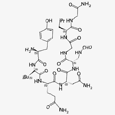 CC[C@H](C)[C@H](NC(=O)[C@@H](N)Cc1ccc(O)cc1)C(=O)N[C@@H](CCC(N)=O)C(=O)N[C@@H](CC(N)=O)C(=O)N[C@@H](CNC=O)C(=O)NCC(=O)N[C@@H](CC(C)C)C(=O)NCC(N)=O